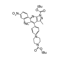 Cc1nn(C(=O)OC(C)(C)C)c2nc(-c3ccc([N+](=O)[O-])cc3F)c(C#N)c(-c3ccc(N4CCN(C(=O)OC(C)(C)C)CC4)cc3)c12